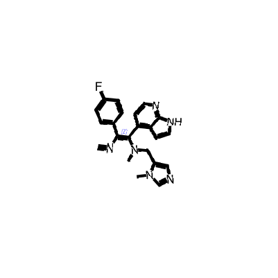 C=N/C(=C(/c1ccnc2[nH]ccc12)N(C)Cc1cncn1C)c1ccc(F)cc1